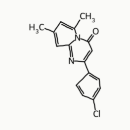 Cc1cc(C)n2c(=O)cc(-c3ccc(Cl)cc3)nc2c1